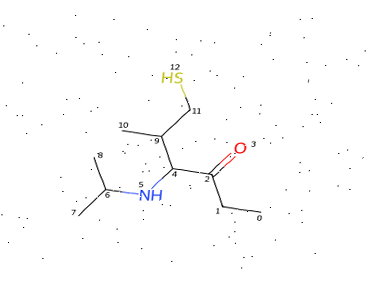 CCC(=O)C(NC(C)C)C(C)CS